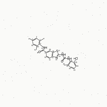 Cc1cc(C)c(NC(=O)c2ccc3nc(NC(=O)Nc4c(C)cccc4Cl)sc3c2)c(C)c1